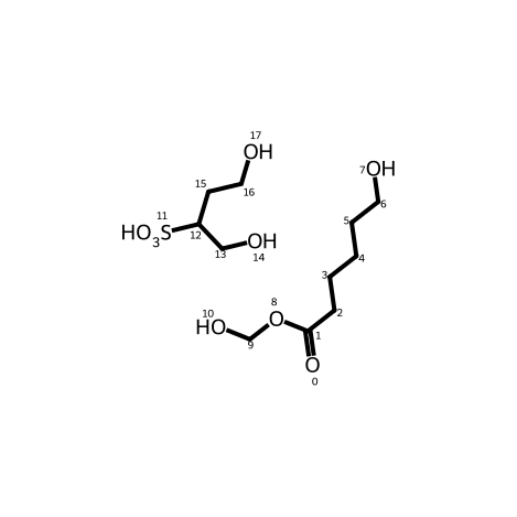 O=C(CCCCCO)OCO.O=S(=O)(O)C(CO)CCO